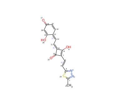 Cc1nnc(/C=C/C2=C(O)C(=C\C=C3\C=CC(=O)C=C3O)/C2=O)s1